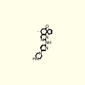 C[C@@H]1CC(=O)C2(CC=CC2)c2nc(Nc3ccc(N4CCNCC4)cn3)ncc21